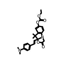 CCOC(=O)Oc1ccc2c(c1)C(C)(C)C1(C=Cc3ccc(N(C)C)cc3)OC(=O)CN21